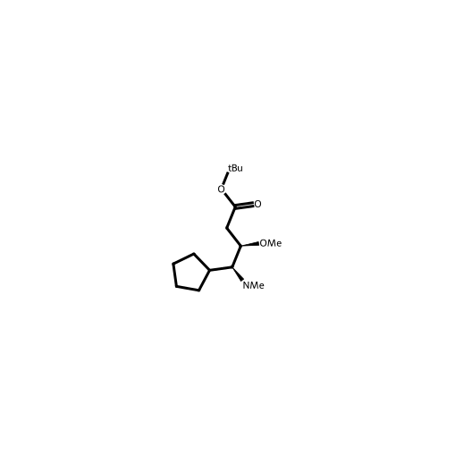 CN[C@@H](C1CCCC1)[C@@H](CC(=O)OC(C)(C)C)OC